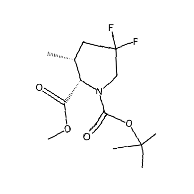 COC(=O)[C@@H]1[C@H](C)CC(F)(F)CN1C(=O)OC(C)(C)C